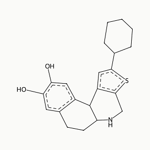 Oc1cc2c(cc1O)C1c3cc(C4CCCCC4)sc3CNC1CC2